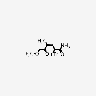 CCCC(CC(C)C(=O)COC(F)(F)F)C(N)=O